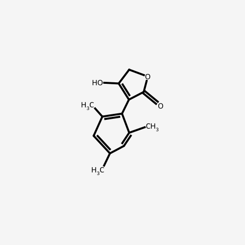 Cc1cc(C)c(C2=C(O)COC2=O)c(C)c1